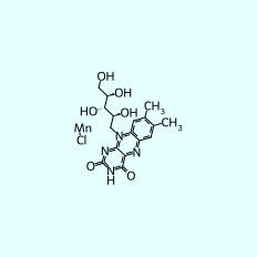 Cc1cc2nc3c(=O)[nH]c(=O)nc-3n(C[C@H](O)[C@H](O)[C@H](O)CO)c2cc1C.[Cl][Mn]